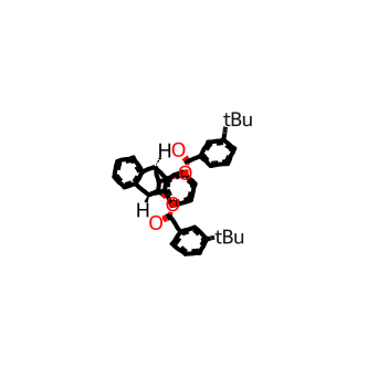 CC(C)(C)c1cccc(C(=O)OC2C(OC(=O)c3cccc(C(C)(C)C)c3)[C@H]3c4ccccc4[C@H]2c2ccccc23)c1